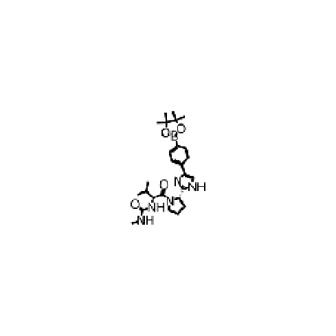 CNC(=O)N[C@H](C(=O)N1CCC[C@H]1c1nc(-c2ccc(B3OC(C)(C)C(C)(C)O3)cc2)c[nH]1)C(C)C